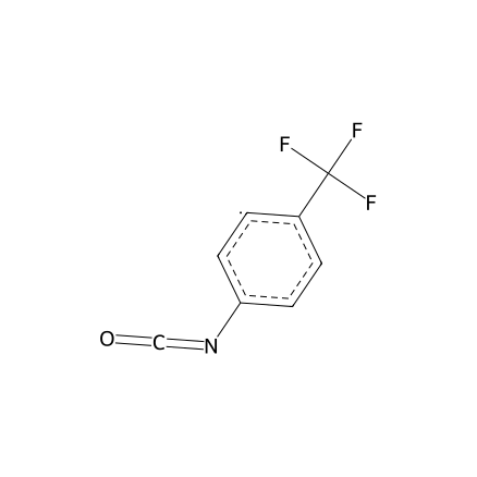 O=C=Nc1c[c]c(C(F)(F)F)cc1